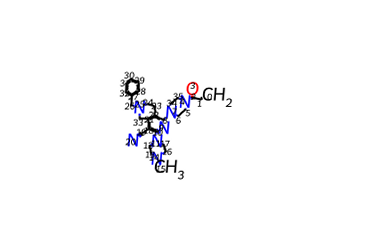 C=CC(=O)N1CCN(c2nc(N3CCN(C)CC3)c(C#N)c3c2CCN(Cc2ccccc2)C3)CC1